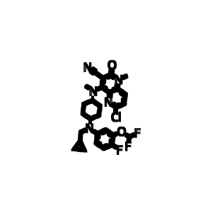 Cn1c(=O)c(C#N)c(N(C)[C@H]2CC[C@H](N(CC3CC3)c3ccc(F)c(OC(F)F)c3)CC2)c2nc(Cl)ccc21